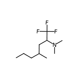 CCCC(C)CC(N(C)C)C(F)(F)F